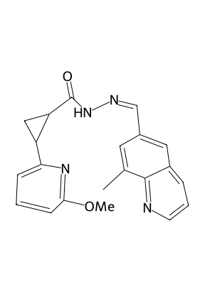 COc1cccc(C2CC2C(=O)N/N=C\c2cc(C)c3ncccc3c2)n1